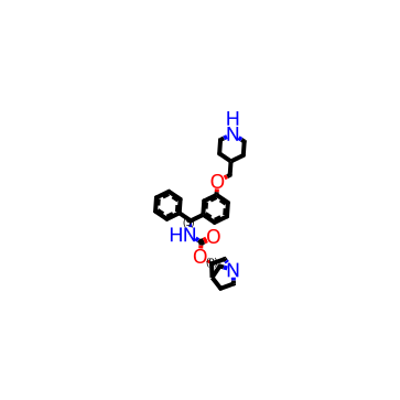 O=C(N[C@@H](c1ccccc1)c1cccc(OCC2CCNCC2)c1)O[C@H]1CN2CCC1C2